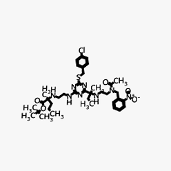 CCCC(C)(NCCNc1nc(SCc2ccc(Cl)cc2)nc(C(C)(CC)NCCN(Cc2ccccc2[N+](=O)[O-])C(C)=O)n1)C(=O)OC(C)(C)C